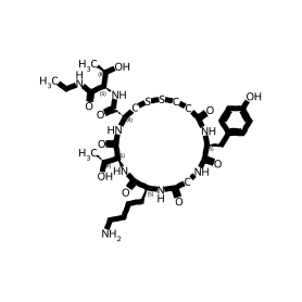 CCNC(=O)[C@@H](NC(=O)[C@@H]1CSSCCC(=O)N[C@@H](Cc2ccc(O)cc2)C(=O)NCC(=O)N[C@@H](CCCCN)C(=O)N[C@@H]([C@@H](C)O)C(=O)N1)[C@@H](C)O